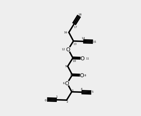 C#CCC(C#C)OC(=O)CC(=O)OC(C#C)CC#C